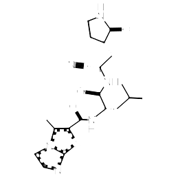 Cc1c(C(=O)N[C@@H](CC(C)C)C(=O)N[C@H](C#N)C[C@@H]2CCNC2=O)sc2nccn12